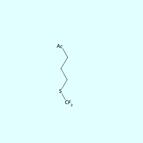 CC(=O)CCCSC(F)(F)F